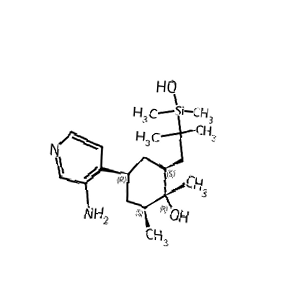 C[C@H]1C[C@@H](c2ccncc2N)C[C@@H](CC(C)(C)[Si](C)(C)O)[C@]1(C)O